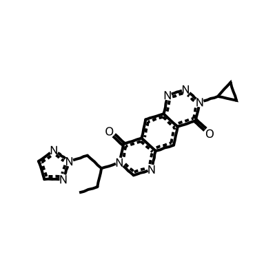 CCC(Cn1nccn1)n1cnc2cc3c(=O)n(C4CC4)nnc3cc2c1=O